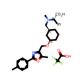 Cc1ccc(-c2nc(CO[C@@H]3CCC[C@H](CN(C)[C@H](C(=O)O)C(C)C)C3)c(C)o2)cc1.O=C(O)C(F)(F)F